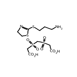 NCCCSC1=NCCS1.O=C(O)CS(=O)(=O)CS(=O)(=O)CC(=O)O